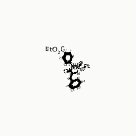 CCOC(=O)c1ccc(NC(=O)C(Cc2ccccc2)CP(=O)(O)OCC)cc1